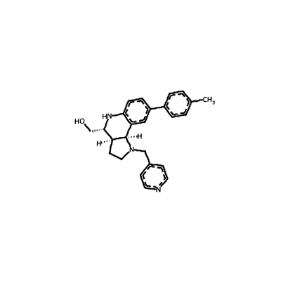 Cc1ccc(-c2ccc3c(c2)[C@@H]2[C@@H](CCN2Cc2ccncc2)[C@H](CO)N3)cc1